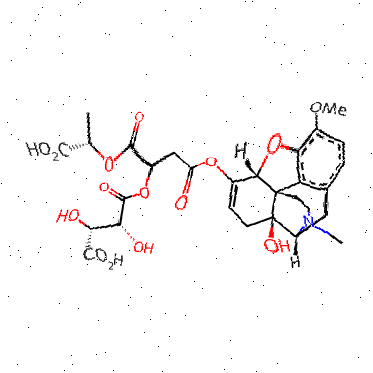 COc1ccc2c3c1O[C@H]1C(OC(=O)CC(OC(=O)[C@H](O)[C@@H](O)C(=O)O)C(=O)O[C@@H](C)C(=O)O)=CC[C@@]4(O)[C@@H](C2)N(C)CC[C@]314